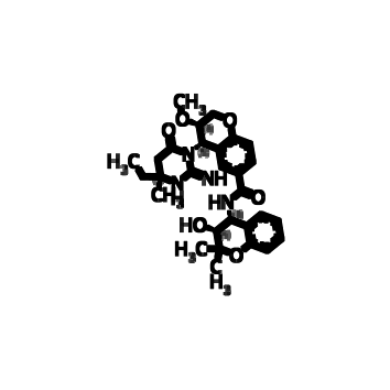 CC[C@]1(C)CC(=O)N([C@H]2c3cc(C(=O)N[C@@H]4c5ccccc5OC(C)(C)[C@H]4O)ccc3OC[C@@H]2OC)C(=N)N1